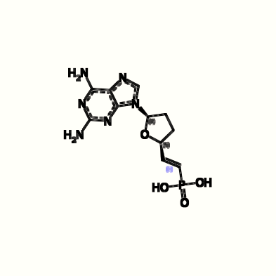 Nc1nc(N)c2ncn([C@H]3CC[C@@H](/C=C/P(=O)(O)O)O3)c2n1